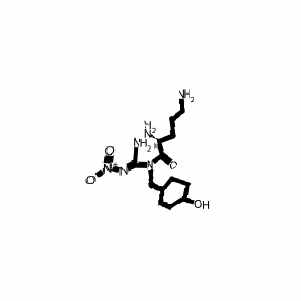 NCCC[C@@H](N)C(=O)N(CC1CCC(O)CC1)C(N)=N[N+](=O)[O-]